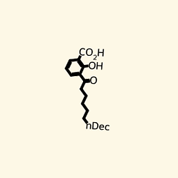 CCCCCCCCCCCCCCCC(=O)c1cccc(C(=O)O)c1O